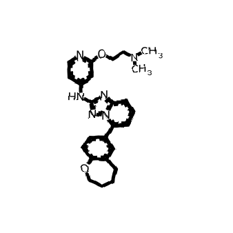 CN(C)CCOc1cc(Nc2nc3cccc(-c4ccc5c(c4)CCCCO5)n3n2)ccn1